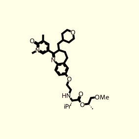 COC[C@H](C)OC(=O)[C@@H](NCCOc1ccc2c(c1)CCC(CC1CCOCC1)C(c1cc(C)c(=O)n(C)c1)=N2)C(C)C